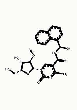 CC(NC(=O)c1cn([C@@H]2O[C@H](CO)[C@H](O)[C@H]2OF)c(=O)nc1N)c1cccc2ccccc12